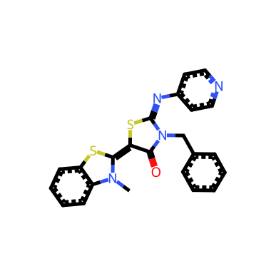 CN1/C(=C2/S/C(=N/c3ccncc3)N(Cc3ccccc3)C2=O)Sc2ccccc21